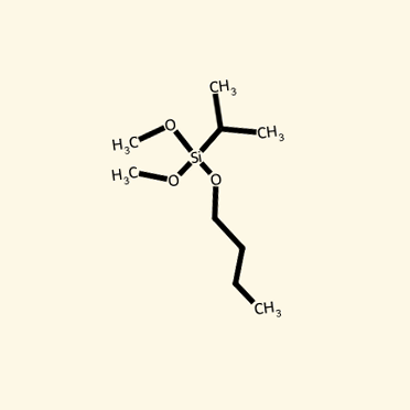 CCCCO[Si](OC)(OC)C(C)C